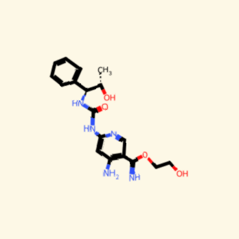 C[C@H](O)[C@@H](NC(=O)Nc1cc(N)c(C(=N)OCCO)cn1)c1ccccc1